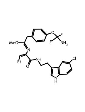 CC/C=C(/N=C(/Cc1ccc(OC(N)(F)F)cc1)OC)C(=O)NCCc1c[nH]c2ccc(Cl)cc12